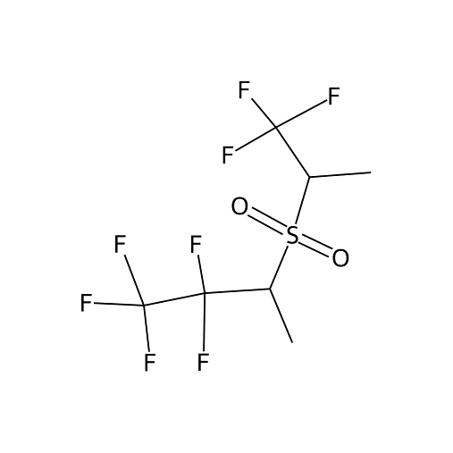 CC(C(F)(F)F)S(=O)(=O)C(C)C(F)(F)C(F)(F)F